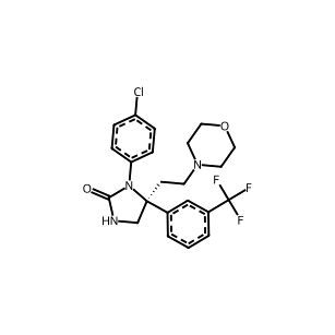 O=C1NC[C@](CCN2CCOCC2)(c2cccc(C(F)(F)F)c2)N1c1ccc(Cl)cc1